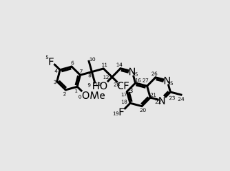 COc1ccc(F)cc1C(C)(C)CC(O)(/C=N\c1cc(F)cc2nc(C)ncc12)C(F)(F)F